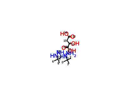 CC(C)(C)NN.CC(C)(C)NN.O=C(O)CC(O)C(=O)O